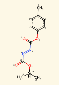 Cc1ccc(OC(=O)N=NC(=O)O[SiH](C)C)cc1